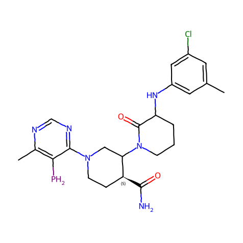 Cc1cc(Cl)cc(NC2CCCN(C3CN(c4ncnc(C)c4P)CC[C@@H]3C(N)=O)C2=O)c1